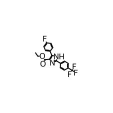 CCOC(=O)c1nc(-c2ccc(C(F)(F)F)cc2)[nH]c1-c1ccc(F)cc1